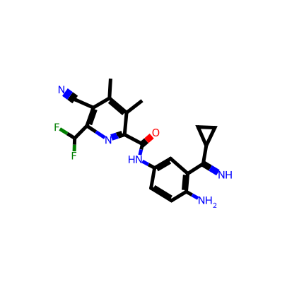 Cc1c(C(=O)Nc2ccc(N)c(C(=N)C3CC3)c2)nc(C(F)F)c(C#N)c1C